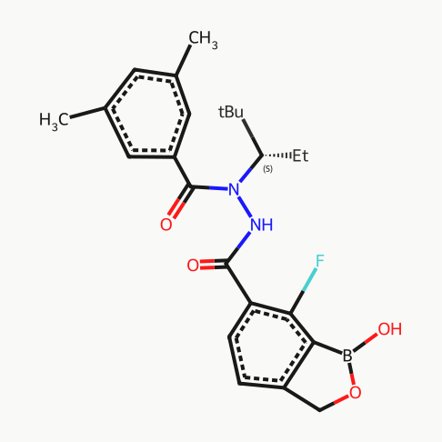 CC[C@H](N(NC(=O)c1ccc2c(c1F)B(O)OC2)C(=O)c1cc(C)cc(C)c1)C(C)(C)C